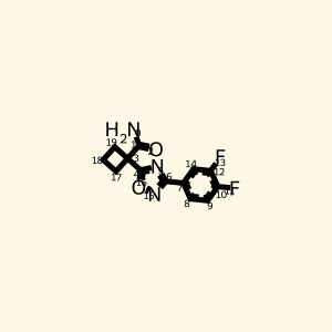 NC(=O)C1(c2nc(-c3ccc(F)c(F)c3)no2)CCC1